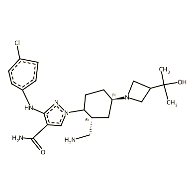 CC(C)(O)C1CN([C@@H]2CCC(n3cc(C(N)=O)c(Nc4ccc(Cl)cc4)n3)[C@@H](CN)C2)C1